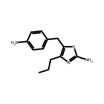 CCCc1nc(N)sc1Cc1ccc(N)cc1